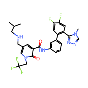 CC(C)CNCc1cc(C(=O)Nc2cccc(-c3cc(F)c(F)cc3-c3nncn3C)c2)c(=O)n(CC(F)(F)F)c1